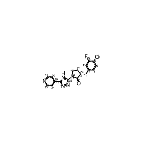 O=C1[C@@H](Cc2ccc(Cl)c(F)c2)CCN1c1nnc(-c2ccncc2)[nH]1